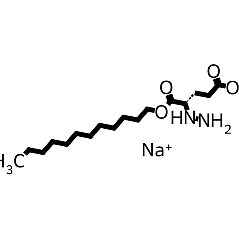 CCCCCCCCCCCCOC(=O)[C@H](CCC(=O)[O-])NN.[Na+]